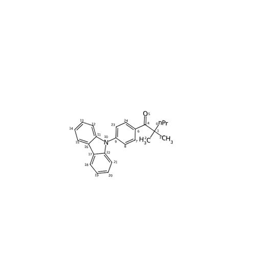 CCCC(C)(C)C(=O)c1ccc(-n2c3ccccc3c3ccccc32)cc1